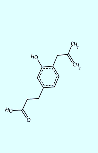 C=C(C)Cc1ccc(CCC(=O)O)cc1O